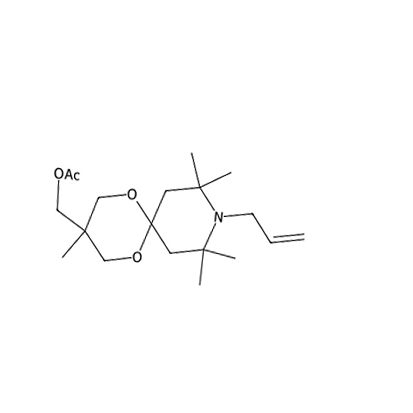 C=CCN1C(C)(C)CC2(CC1(C)C)OCC(C)(COC(C)=O)CO2